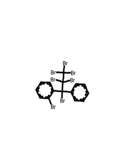 Brc1ccccc1C(Br)(c1ccccc1)C(Br)(Br)C(Br)(Br)Br